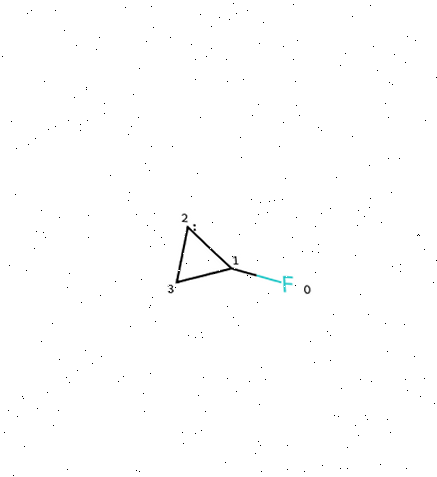 FC1[C]C1